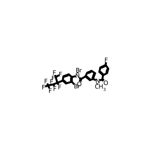 CN(C(=O)c1ccc(F)cc1)c1cccc(C(=O)N(Br)c2ccc(C(F)(C(F)(F)F)C(F)(F)C(F)(F)F)cc2Br)c1